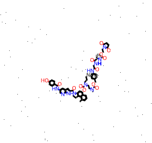 CNCCCN(CCN(C)C(=O)OCc1ccc(NC(=O)CNC(=O)C(NC(=O)OCCN2C(=O)C=CC2=O)C(C)C)cc1)C(=O)Oc1cc2c(c3c(C)cccc13)CCN2C(=O)c1cc2cc(NC(=O)c3ccc(O)cc3)cnc2[nH]1